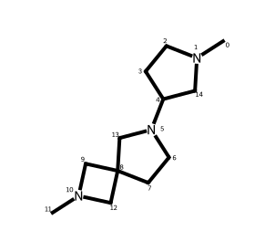 CN1CCC(N2CCC3(CN(C)C3)C2)C1